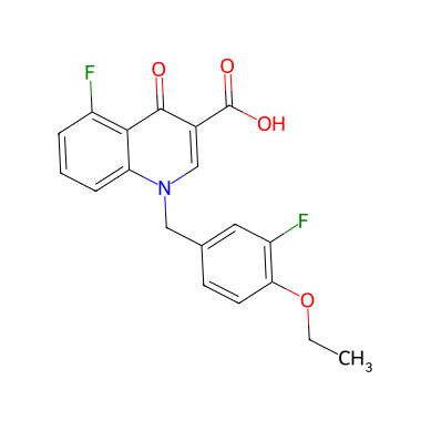 CCOc1ccc(Cn2cc(C(=O)O)c(=O)c3c(F)cccc32)cc1F